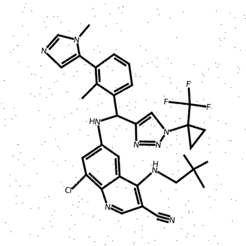 Cc1c(-c2cncn2C)cccc1C(Nc1cc(Cl)c2ncc(C#N)c(NCC(C)(C)C)c2c1)c1cn(C2(C(F)(F)F)CC2)nn1